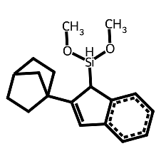 CO[SiH](OC)C1C(C23CCC(CC2)C3)=Cc2ccccc21